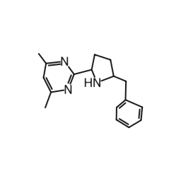 Cc1cc(C)nc(C2CCC(Cc3ccccc3)N2)n1